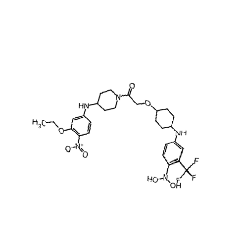 CCOc1cc(NC2CCN(C(=O)COC3CCC(Nc4ccc(N(O)O)c(C(F)(F)F)c4)CC3)CC2)ccc1[N+](=O)[O-]